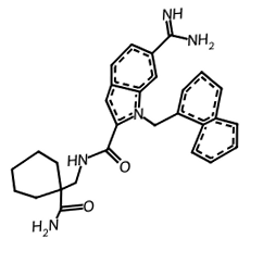 N=C(N)c1ccc2cc(C(=O)NCC3(C(N)=O)CCCCC3)n(Cc3cccc4ccccc34)c2c1